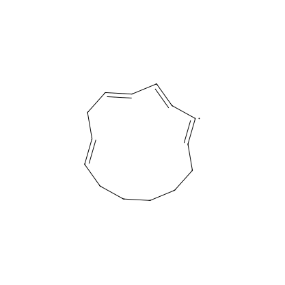 [C]1=C/CCCCC/C=C/C/C=C/C=C/1